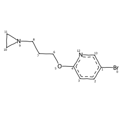 Brc1ccc(OCCCN2CC2)nc1